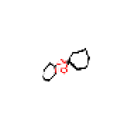 OC1(OC2CCCCC2)CCCCC1